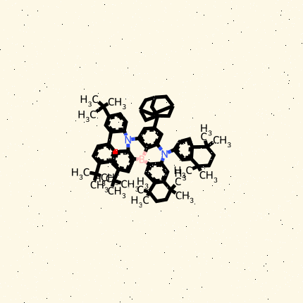 CC(C)(C)c1ccc(-c2cc(C(C)(C)C)ccc2N2c3ccc(C(C)(C)C)cc3B3c4cc5c(cc4N(c4ccc6c(c4)C(C)(C)CCC6(C)C)c4cc(C67CC8CC(CC(C8)C6)C7)cc2c43)C(C)(C)CCC5(C)C)cc1